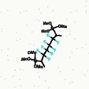 CO[Si](OC)(OC)C(C)C(F)(F)C(F)(F)C(F)(F)C(F)(F)C(C)[Si](OC)(OC)OC